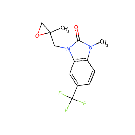 Cn1c(=O)n(CC2(C)CO2)c2cc(C(F)(F)F)ccc21